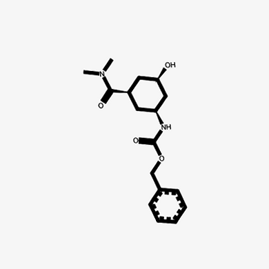 CN(C)C(=O)[C@H]1C[C@@H](O)C[C@@H](NC(=O)OCc2ccccc2)C1